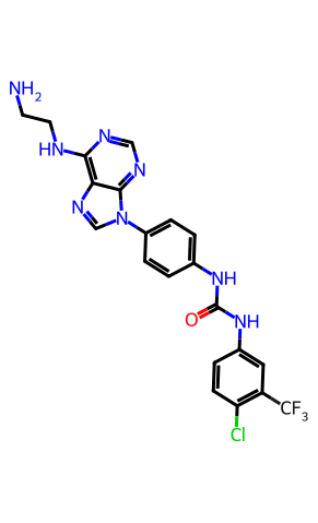 NCCNc1ncnc2c1ncn2-c1ccc(NC(=O)Nc2ccc(Cl)c(C(F)(F)F)c2)cc1